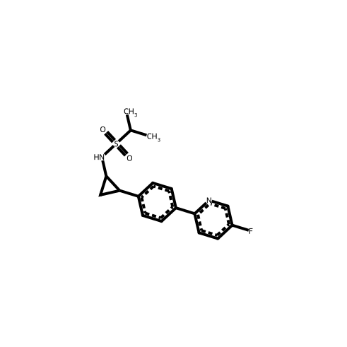 CC(C)S(=O)(=O)NC1CC1c1ccc(-c2ccc(F)cn2)cc1